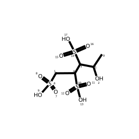 [CH2]C(O)C(C(CS(=O)(=O)O)S(=O)(=O)O)S(=O)(=O)O